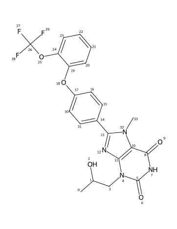 CC(O)Cn1c(=O)[nH]c(=O)c2c1nc(-c1ccc(Oc3ccccc3OC(F)(F)F)cc1)n2C